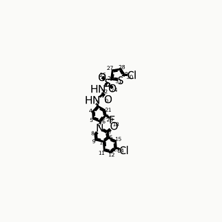 O=C(Nc1ccc(-n2ccc3ccc(Cl)cc3c2=O)c(F)c1)NS(=O)(=O)c1ccc(Cl)s1